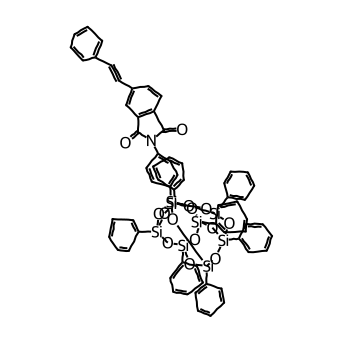 O=C1c2ccc(C#Cc3ccccc3)cc2C(=O)N1c1ccc([Si]23O[Si]4(c5ccccc5)O[Si]5(c6ccccc6)O[Si]6(c7ccccc7)O[Si](c7ccccc7)(O4)O[Si](c4ccccc4)(O[Si](c4ccccc4)(O6)O[Si](c4ccccc4)(O5)O2)O3)cc1